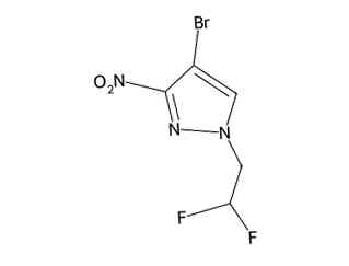 O=[N+]([O-])c1nn(CC(F)F)cc1Br